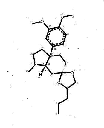 CCCC1CO[C@@]2(CC[C@@]3(c4ccc(OC)c(OC)c4)CCN(C)[C@H]3C2)O1